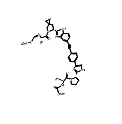 COO/C=N\[C@H](C(=O)N1CC2(CC2)C[C@H]1c1nc2cc(C#Cc3ccc(-c4c[nH]c([C@@H]5CCCN5C(=O)[C@@H](NC(=O)OC)C(C)C)n4)cc3)ccc2[nH]1)C(C)C